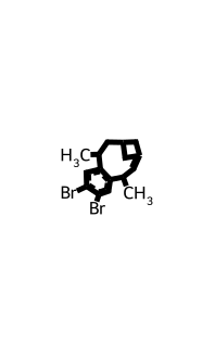 CC1C=C2CC(C2)CC(C)c2cc(Br)c(Br)cc21